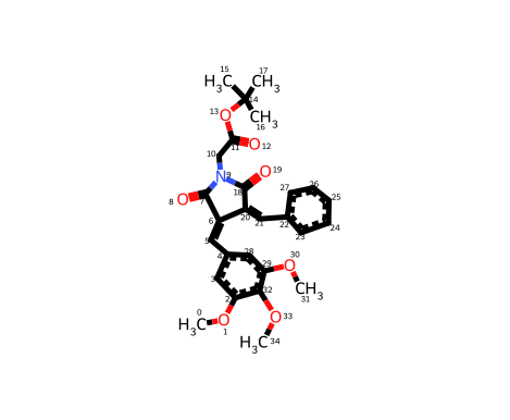 COc1cc(C=C2C(=O)N(CC(=O)OC(C)(C)C)C(=O)C2=Cc2ccccc2)cc(OC)c1OC